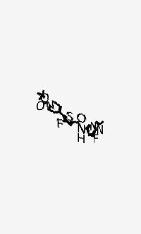 Cc1cn2cc(NC(=O)c3cc(F)c(C4CCN(C(=O)OC(C)(C)C)CC4)s3)cc(F)c2n1